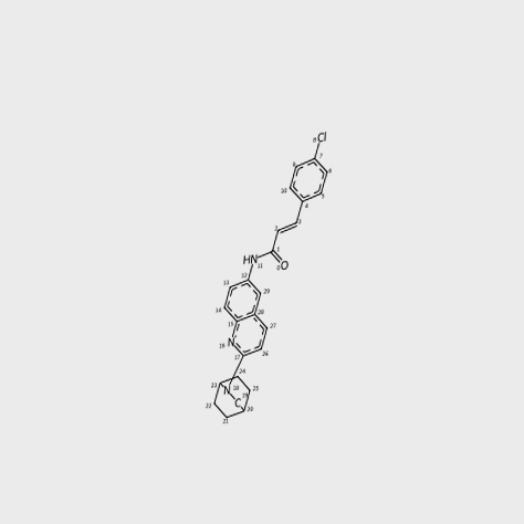 O=C(/C=C/c1ccc(Cl)cc1)Nc1ccc2nc(N3CC4CCC3CC4)ccc2c1